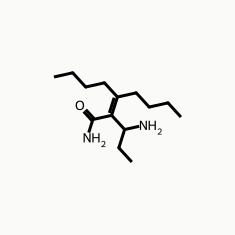 CCCCC(CCCC)=C(C(N)=O)C(N)CC